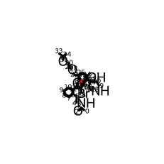 CC(=O)NCCc1ccccc1-c1onc([C@H]2CNCC[C@]2(O)c2ccc(COCCOC(C)C)cc2)c1Br